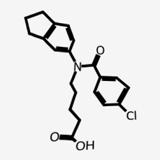 O=C(O)CCCCN(C(=O)c1ccc(Cl)cc1)c1ccc2c(c1)CCC2